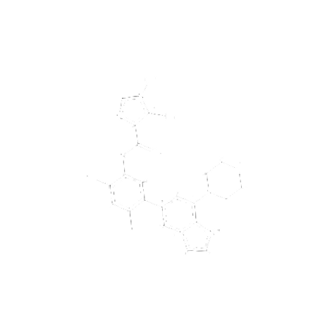 Cc1cc(F)c(NC(=O)c2ncn(C(C)(C)C)c2F)cc1-c1cc(N2CCOCC2)c2nccn2c1